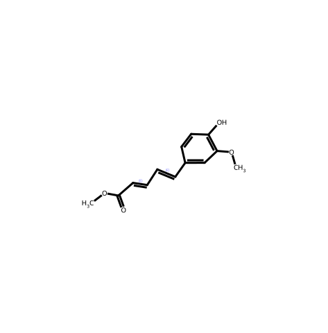 COC(=O)/C=C/C=C/c1ccc(O)c(OC)c1